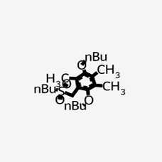 CCCCOc1c(C)c(C)c(OCCCC)c(CS(=O)(=O)CCCC)c1C